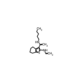 C=CNc1sc2c(c1C(=C)NCCCCC)CCCC2